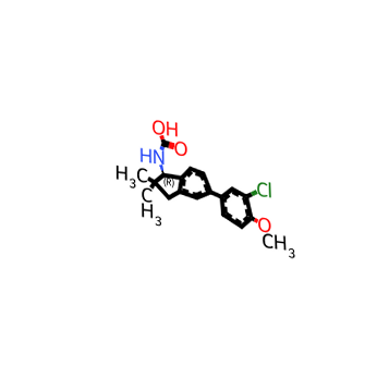 COc1ccc(-c2ccc3c(c2)CC(C)(C)[C@H]3NC(=O)O)cc1Cl